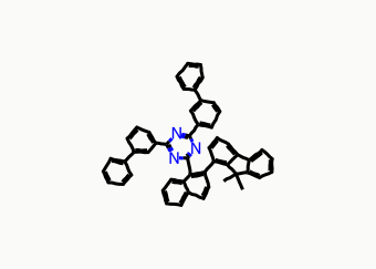 CC1(C)c2ccccc2-c2cccc(-c3ccc4ccccc4c3-c3nc(-c4cccc(-c5ccccc5)c4)nc(-c4cccc(-c5ccccc5)c4)n3)c21